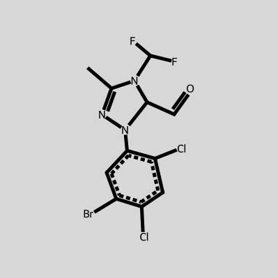 CC1=NN(c2cc(Br)c(Cl)cc2Cl)C(C=O)N1C(F)F